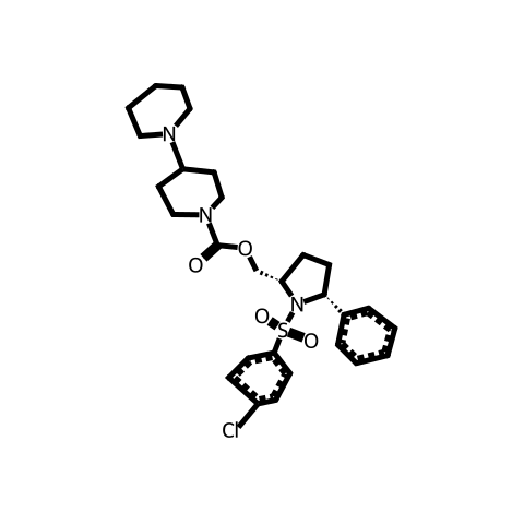 O=C(OC[C@@H]1CC[C@H](c2ccccc2)N1S(=O)(=O)c1ccc(Cl)cc1)N1CCC(N2CCCCC2)CC1